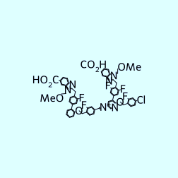 COCCn1c(Cc2ccc(-c3ccccc3OCc3ccc(C#[N+]c4cnc(OCc5ccc(Cl)cc5F)c(-c5cc(F)c(Cc6nc7ccc(C(=O)O)cc7n6CCOC)c(F)c5)c4)cc3F)cc2F)nc2ccc(C(=O)O)cc21